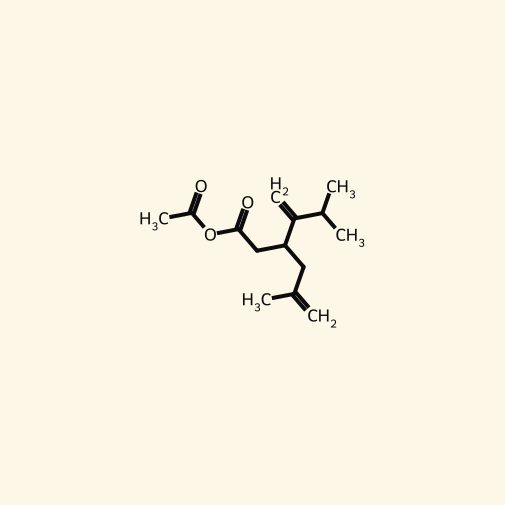 C=C(C)CC(CC(=O)OC(C)=O)C(=C)C(C)C